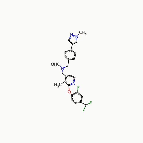 Cc1c(CN(C=O)Cc2ccc(-c3cnn(C)c3)cc2)ccnc1Oc1ccc(C(F)F)cc1F